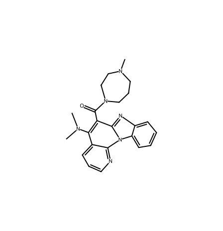 CN1CCCN(C(=O)c2c(N(C)C)c3cccnc3n3c2nc2ccccc23)CC1